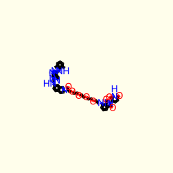 Cc1cccc(C)c1Nc1nn(C)c2nc(Nc3ccc4c(c3)CN(C(=O)COCCOCCOCCOCCNc3cccc5c3C(=O)N(C3CCC(=O)NC3=O)C5=O)CC4)ncc12